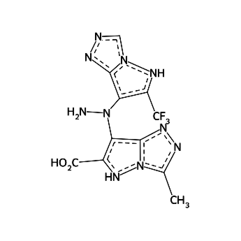 Cc1nnc2c(N(N)c3c(C(F)(F)F)[nH]n4cnnc34)c(C(=O)O)[nH]n12